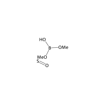 COB(O)OC.O=S